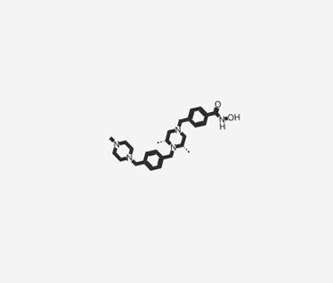 C[C@@H]1CN(Cc2ccc(C(=O)NO)cc2)C[C@H](C)N1Cc1ccc(CN2CCN(C)CC2)cc1